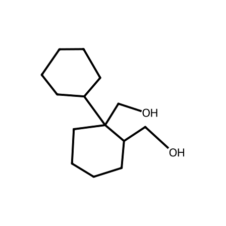 OCC1CCCCC1(CO)C1CCCCC1